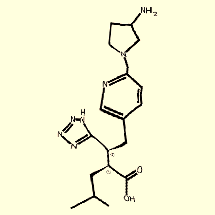 CC(C)C[C@H](C(=O)O)[C@H](Cc1ccc(N2CCC(N)C2)nc1)c1nnn[nH]1